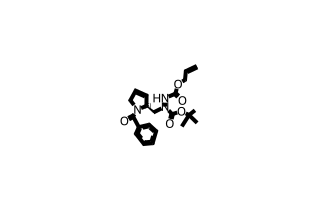 C=CCOC(=O)NN(C[C@@H]1C=CCN1C(=O)c1ccccc1)C(=O)OC(C)(C)C